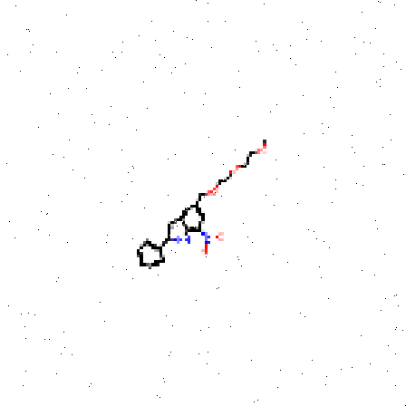 COCCOCCOCc1cc([N+](=O)[O-])c2[nH]c(-c3ccccc3)cc2c1